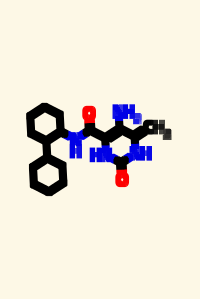 C=C1NC(=O)NC(C(=O)NC2CCCCC2C2CCCCC2)=C1N